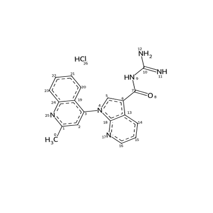 Cc1cc(-n2cc(C(=O)NC(=N)N)c3cccnc32)c2ccccc2n1.Cl